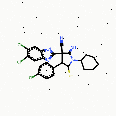 N#CC1(c2nc3cc(Cl)c(Cl)cc3[nH]2)C(=N)N(C2CCCCC2)C(S)C1c1ccc(Cl)cc1